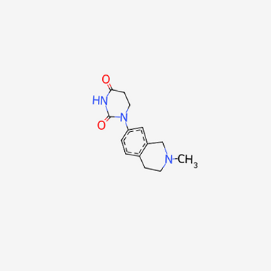 CN1CCc2ccc(N3CCC(=O)NC3=O)cc2C1